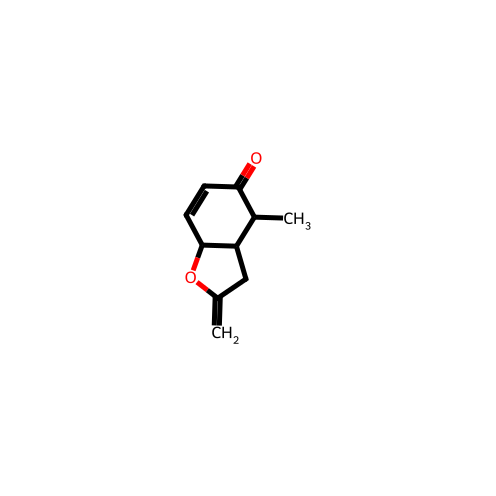 C=C1CC2C(C=CC(=O)C2C)O1